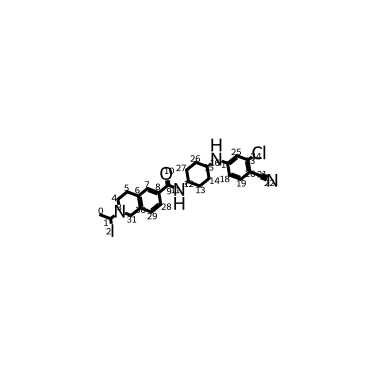 CC(I)N1CCc2cc(C(=O)N[C@H]3CC[C@H](Nc4ccc(C#N)c(Cl)c4)CC3)ccc2C1